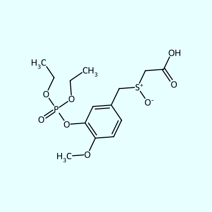 CCOP(=O)(OCC)Oc1cc(C[S+]([O-])CC(=O)O)ccc1OC